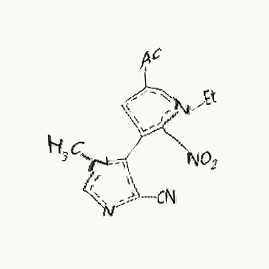 CCn1c(C(C)=O)cc(-c2c(C#N)ncn2C)c1[N+](=O)[O-]